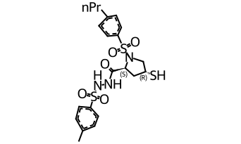 CCCc1ccc(S(=O)(=O)N2C[C@H](S)C[C@H]2C(=O)NNS(=O)(=O)c2ccc(C)cc2)cc1